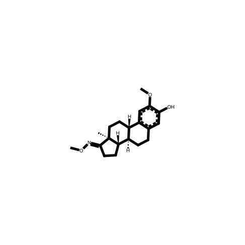 CON=C1CC[C@H]2[C@@H]3CCc4cc(O)c(OC)cc4[C@H]3CC[C@]12C